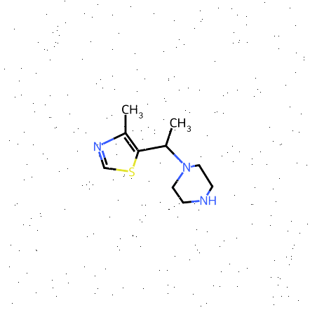 Cc1ncsc1C(C)N1CCNCC1